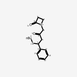 CCCCSC(CC(=O)CN1CCC1=O)c1ccccc1